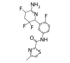 Cc1csc(C(=O)Nc2ccc(F)c(C3N=C(N)C(F)CC3(F)F)c2)n1